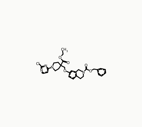 CCOC(=O)C1(COc2ccc3c(c2)CN(C(=O)OCc2ccccc2)CC3)CCN(c2ccnc(Cl)n2)CC1